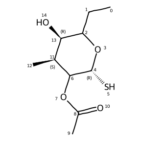 CCC1O[C@H](S)C(OC(C)=O)[C@@H](C)[C@H]1O